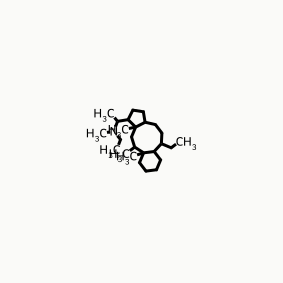 CCC1CCC2CCC(C(C)N(C)CC)C2(C)CC(C)C2(C)CCCCC12